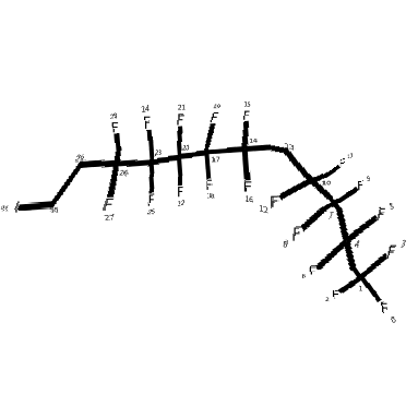 FC(F)(F)C(F)(F)C(F)(F)C(F)(F)CC(F)(F)C(F)(F)C(F)(F)C(F)(F)C(F)(F)CCI